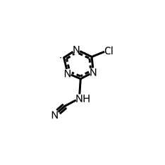 N#CNc1n[c]nc(Cl)n1